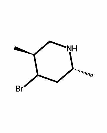 C[C@@H]1CC(Br)[C@@H](C)CN1